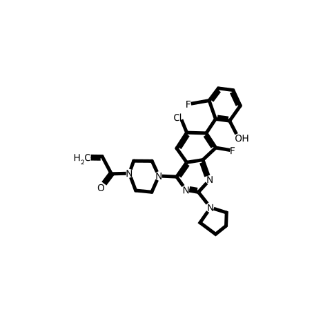 C=CC(=O)N1CCN(c2nc(N3CCCC3)nc3c(F)c(-c4c(O)cccc4F)c(Cl)cc23)CC1